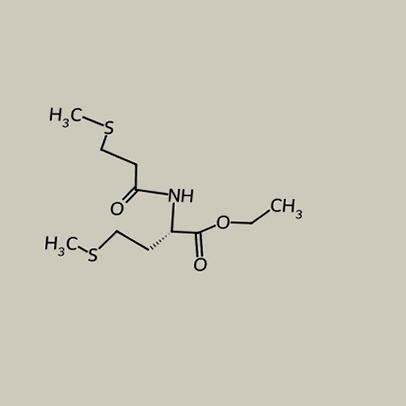 CCOC(=O)[C@H](CCSC)NC(=O)CCSC